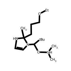 CCOCCCC1(C)NC=CN1C(O[SiH](C)C)C(C)(C)C